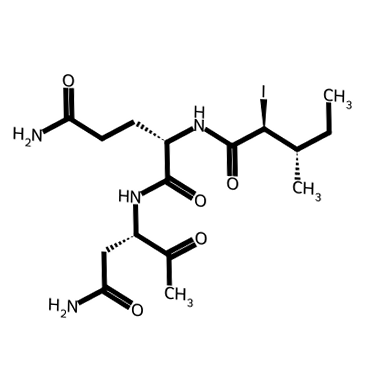 CC[C@H](C)[C@H](I)C(=O)N[C@@H](CCC(N)=O)C(=O)N[C@@H](CC(N)=O)C(C)=O